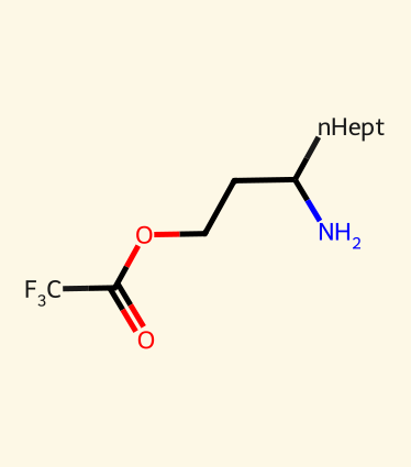 CCCCCCCC(N)CCOC(=O)C(F)(F)F